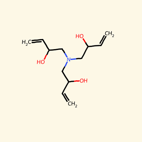 C=CC(O)CN(CC(O)C=C)CC(O)C=C